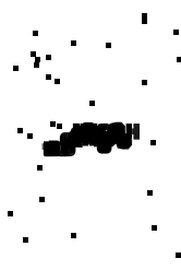 CC(C)(C)OC(=O)CN1CCNC(C(=O)N[C@@H]2C[C@@H](C(=O)O)N(C(=O)OCC3c4ccccc4-c4ccccc43)C2)C1